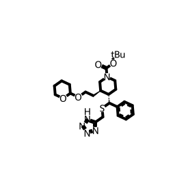 CC(C)(C)OC(=O)N1CC[C@H](C(SCc2nnn[nH]2)c2ccccc2)[C@@H](CCOC2CCCCO2)C1